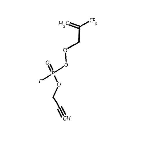 C#CCOP(=O)(F)OOCC(=C)C(F)(F)F